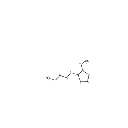 [O]CCCCN1CCCC1CO